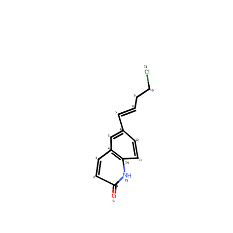 O=c1ccc2cc(C=CCCCl)ccc2[nH]1